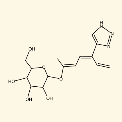 C=C/C(=C\C=C(/C)OC1OC(CO)C(O)C(O)C1O)c1c[nH]nn1